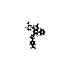 C=C[C@H]1CN(C(=O)c2cc(-c3nc(-c4ccc(C(F)F)cc4)cs3)c(=O)n(-c3c(CC)cccc3CC)c2C=C(C)C)CCN1